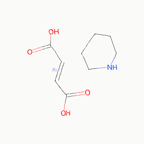 C1CCNCC1.O=C(O)/C=C/C(=O)O